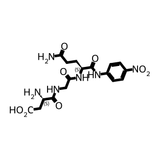 NC(=O)CC[C@H](NC(=O)CNC(=O)[C@@H](N)CC(=O)O)C(=O)Nc1ccc([N+](=O)[O-])cc1